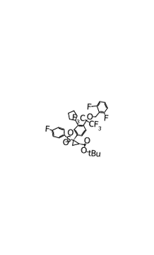 CC(C)(C)OC(=O)[C@H]1C[C@]1(c1ccc(C(OCc2c(F)cccc2F)(C(F)(F)F)C(F)(F)F)c(C2CCCC2)c1)S(=O)(=O)c1ccc(F)cc1